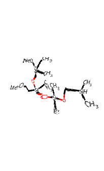 CC[Si](C)(OC[SiH](C)C)O[Si](C)(COC)O[Si](C)(C)OC